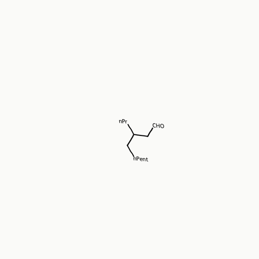 CCCCCCC(CC=O)CCC